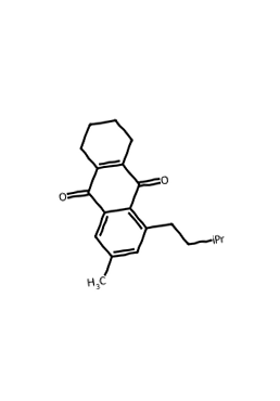 Cc1cc(CCC(C)C)c2c(c1)C(=O)C1=C(CCCC1)C2=O